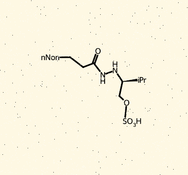 CCCCCCCCCCCC(=O)NN[C@H](COS(=O)(=O)O)C(C)C